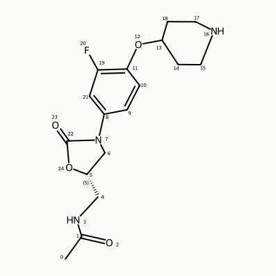 CC(=O)NC[C@H]1CN(c2ccc(OC3CCNCC3)c(F)c2)C(=O)O1